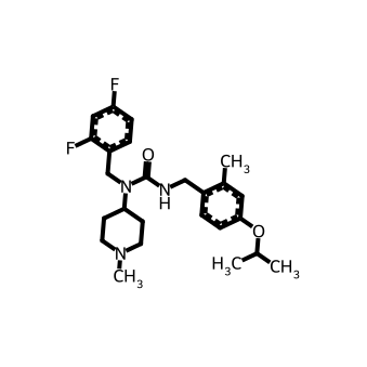 Cc1cc(OC(C)C)ccc1CNC(=O)N(Cc1ccc(F)cc1F)C1CCN(C)CC1